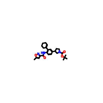 Cc1cc(C(=O)Nc2ccc(C3CCN(C(=O)OC(C)(C)C)C3)cc2C2=CCCCC2)no1